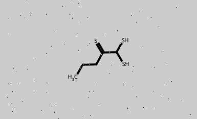 CCCC(=S)C(S)S